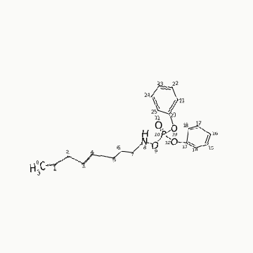 CCCCCCCCNOP(=O)(Oc1ccccc1)Oc1ccccc1